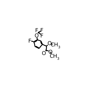 COC(=O)C(OC)c1ccc(F)c(OC(F)(F)F)c1